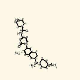 CN(C1CCc2cc(-n3ccc(NC(=O)N4CCNCC4)nc3=O)ccc2C1)[C@H]1CC[C@H](N)CC1.Cl